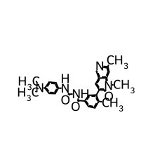 Cc1cc2c(cn1)cc(-c1cc(C(=O)NC(=O)Nc3ccc(N(C)C)cc3)ccc1C)c(=O)n2C